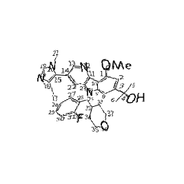 COc1cc(C(C)(C)O)cc2c1c1ncc(-c3c(C)ncn3C)cc1n2C(c1ccccc1F)C1CCOCC1